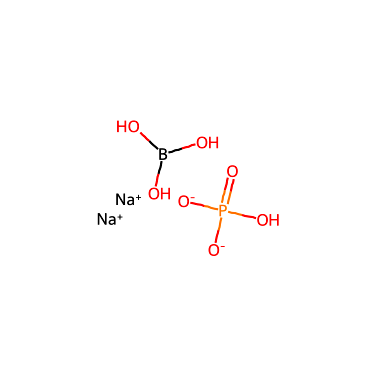 O=P([O-])([O-])O.OB(O)O.[Na+].[Na+]